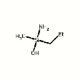 CCC[Si](C)(N)O